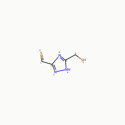 S=Cc1n[nH]c(CS)n1